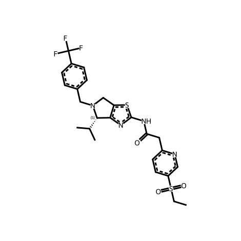 CCS(=O)(=O)c1ccc(CC(=O)Nc2nc3c(s2)CN(Cc2ccc(C(F)(F)F)cc2)[C@H]3C(C)C)nc1